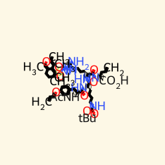 C=CCOc1ccc(C[C@H](NC(C)=O)C(=O)N[C@H](CCCCNC(=O)OC(C)(C)C)C(=O)N[C@H](CCCNC(N)=NNS(=O)(=O)C2=C3C(C)=C(C)OC(C)=C3CCC2(C)C)C(=O)N[C@@H](CC=C)C(=O)O)cc1